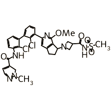 COc1nc(-c2cccc(-c3cccc(NC(=O)C4=CC=NN(C)C4)c3Cl)c2Cl)cc2c1C(N1CC(C(=O)NS(C)(=O)=O)C1)CC2